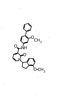 COc1cc(NC(=O)c2cccn(C3CCc4c(OC)cccc43)c2=O)ccc1-c1ccccc1